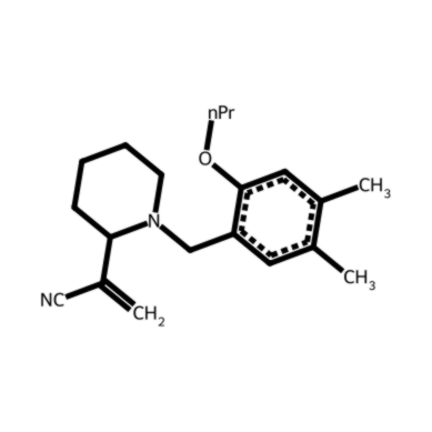 C=C(C#N)C1CCCCN1Cc1cc(C)c(C)cc1OCCC